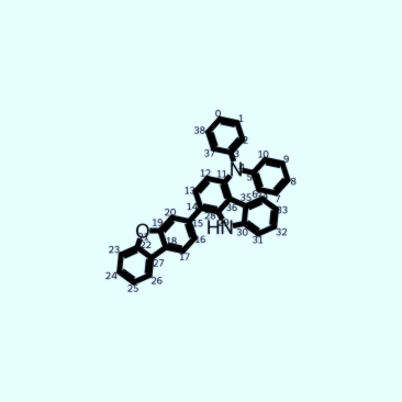 c1ccc(N(c2ccccc2)c2ccc(-c3ccc4c(c3)oc3ccccc34)c3[nH]c4ccccc4c23)cc1